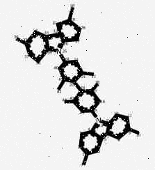 Cc1ccc2c(c1)c1cc(C)ccc1n2-c1cc(C)c(-c2c(C)cc(-n3c4ccc(C)cc4c4cc(C)ccc43)cc2C)c(C)c1